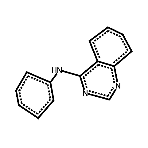 [c]1cccc(Nc2ncnc3ccccc23)c1